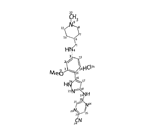 COc1cc(NCC2CCN(C)CC2)ccc1-c1cc(Nc2cnc(C#N)cn2)n[nH]1.Cl